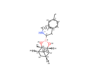 Cc1ccc(CC(NC(=O)O)B2O[C@@H]3C[C@@H]4C[C@@H](C4(C)C)[C@]3(C)O2)cc1